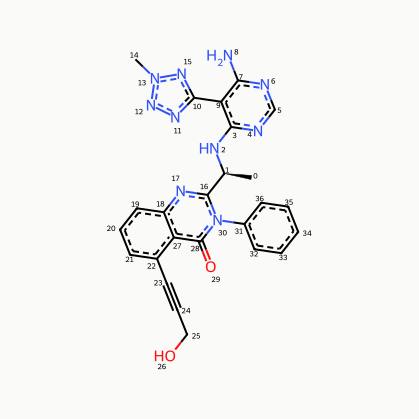 C[C@H](Nc1ncnc(N)c1-c1nnn(C)n1)c1nc2cccc(C#CCO)c2c(=O)n1-c1ccccc1